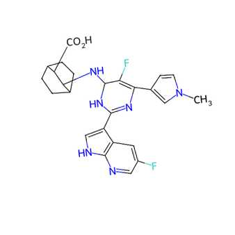 Cn1ccc(C2=C(F)C(NC3C4CCC(CC4)C3C(=O)O)NC(c3c[nH]c4ncc(F)cc34)=N2)c1